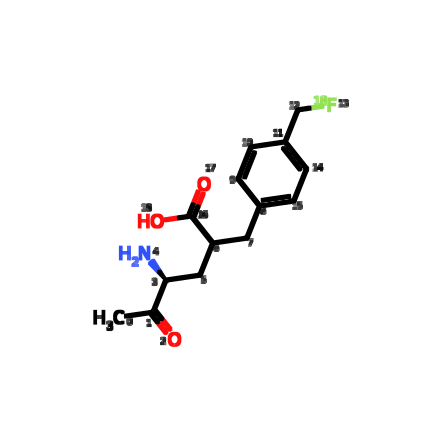 CC(=O)[C@@H](N)CC(Cc1ccc(C[18F])cc1)C(=O)O